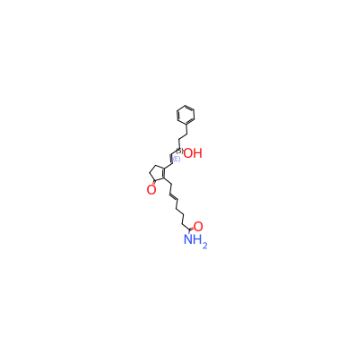 NC(=O)CCCC=CCC1=C(/C=C/[C@@H](O)CCc2ccccc2)CCC1=O